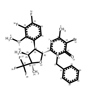 COc1c([C@H]2[C@H](c3nc(C)c(Br)c(=O)n3Cc3ccccc3)O[C@@](C)(C(F)(F)F)[C@H]2C)ccc(F)c1F